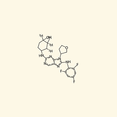 [2H]C1C(Nc2ncc3nc(Nc4c(F)cc(F)cc4F)n(C4CCOC4)c3n2)CCC([2H])(O)C1([2H])[2H]